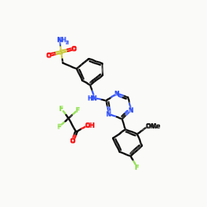 COc1cc(F)ccc1-c1ncnc(Nc2cccc(CS(N)(=O)=O)c2)n1.O=C(O)C(F)(F)F